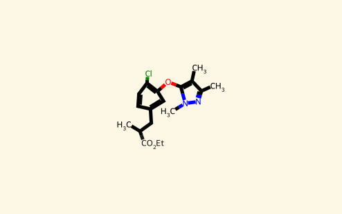 CCOC(=O)C(C)Cc1ccc(Cl)c(Oc2c(C)c(C)nn2C)c1